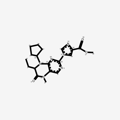 CCC1C(=O)N(C)c2cnc(-n3cnc(C(=O)OC)c3)nc2N1C1CCCC1